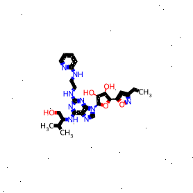 CCc1cc([C@H]2O[C@@H](n3cnc4c(NC(CO)C(C)C)nc(NCCNc5ccccn5)nc43)[C@H](O)[C@@H]2O)on1